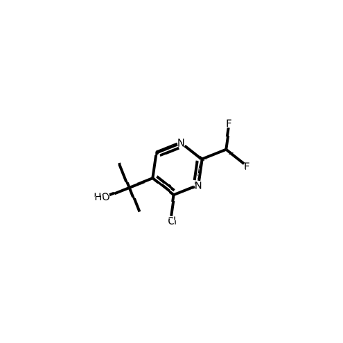 CC(C)(O)c1cnc(C(F)F)nc1Cl